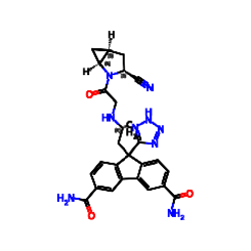 C[C@H](CC1(c2nn[nH]n2)c2ccc(C(N)=O)cc2-c2cc(C(N)=O)ccc21)NCC(=O)N1[C@H](C#N)C[C@@H]2C[C@@H]21